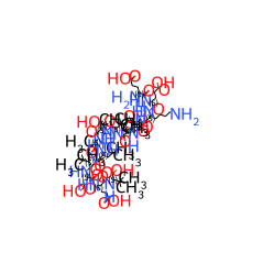 CC(C)C[C@H](NC(=O)[C@H](C)NC(=O)[C@@H](NC(=O)[C@@H](NC(=O)[C@H](C)NC(=O)[C@H](CO)NC(=O)[C@H](CCCCN)NC(=O)[C@H](CCC(=O)O)NC(=O)[C@@H](N)CCC(=O)O)C(C)C)[C@@H](C)O)C(=O)N[C@H](C(=O)N[C@@H](CC(=O)O)C(=O)N[C@@H](CCC(=O)O)C(=O)N[C@H](C(=O)O)C(C)C)C(C)C